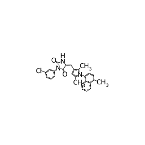 Cc1ccc(-n2c(C)cc(C=C3NC(=O)N(c4cccc(Cl)c4)C3=O)c2C)c2ccccc12